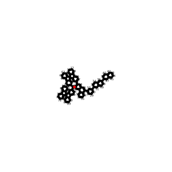 O=C(C1=CCC2C(=C1)C1(c3ccccc3-c3ccc(-c4ccc5c(c4)cc(-c4cccc(-c6ccc7cc(-c8ccc9ccccc9c8)ccc7c6)c4)c4ccccc45)cc31)c1ccccc12)c1ccc2c(c1)C1(c3ccccc3-c3ccccc31)c1ccccc1-2